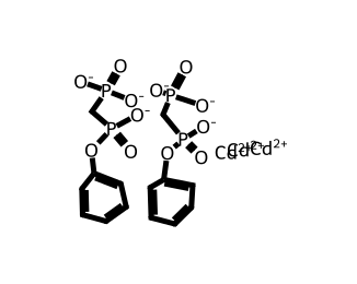 O=P([O-])([O-])CP(=O)([O-])Oc1ccccc1.O=P([O-])([O-])CP(=O)([O-])Oc1ccccc1.[Cd+2].[Cd+2].[Cd+2]